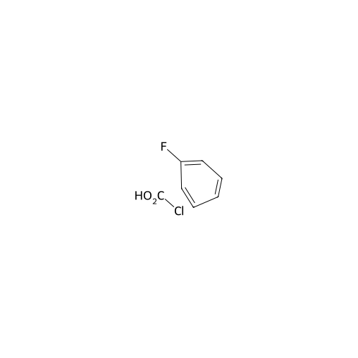 Fc1ccccc1.O=C(O)Cl